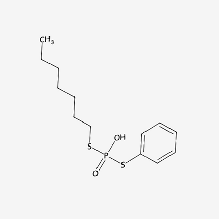 CCCCCCCSP(=O)(O)Sc1ccccc1